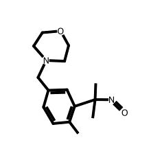 Cc1ccc(CN2CCOCC2)cc1C(C)(C)N=O